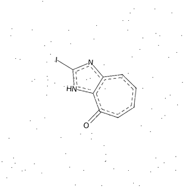 O=c1ccccc2nc(I)[nH]c12